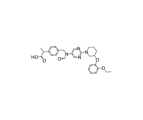 CCOc1ccccc1OC1CCCN(c2ncc(N(C=O)Cc3ccc(C(C)C(=O)O)cc3)cn2)C1